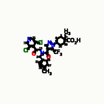 CC1(C(=O)O)CCC(n2ncc(C(=O)N(CC(=O)c3c(Cl)cncc3Cl)C[C@]34CC[C@@](C)(CC3)C4)c2C(F)(F)F)CC1